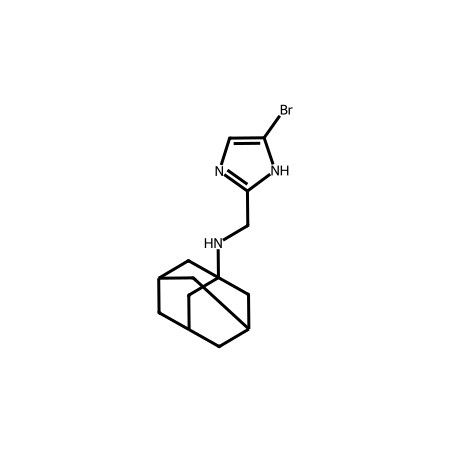 Brc1cnc(CNC23CC4CC(CC(C4)C2)C3)[nH]1